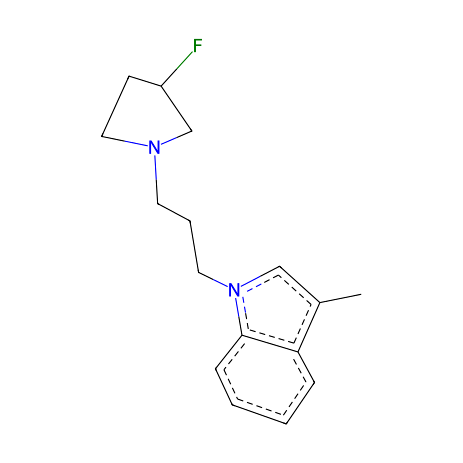 Cc1cn(CCCN2CCC(F)C2)c2ccccc12